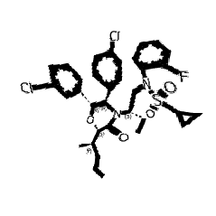 CC=C[C@@H](C)[C@@H]1O[C@H](c2cccc(Cl)c2)[C@@H](c2ccc(Cl)cc2)N([C@@H](CC)CN(c2ccccc2F)S(=O)(=O)C2CC2)C1=O